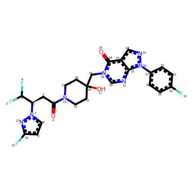 O=C(C[C@H](C(F)F)n1ccc(F)n1)N1CCC(O)(Cn2cnc3c(cnn3-c3ccc(F)cc3)c2=O)CC1